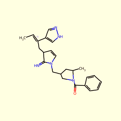 C/C=C(\CC1C=CN(CC2CC(C)N(C(=O)c3ccccc3)C2)C1=N)c1cn[nH]c1